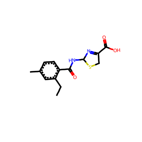 CCc1cc(C)ccc1C(=O)NC1N=C(C(=O)O)CS1